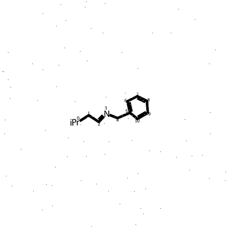 CC(C)CC=NCc1ccccc1